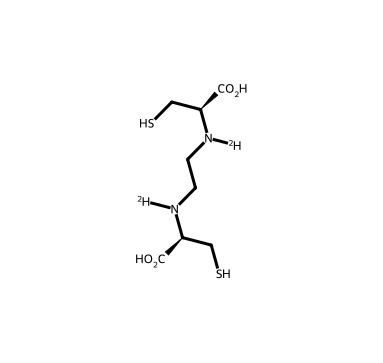 [2H]N(CCN([2H])[C@@H](CS)C(=O)O)[C@@H](CS)C(=O)O